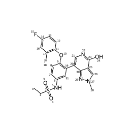 CCS(=O)(=O)Nc1ccc(Oc2ccc(F)cc2F)c(-c2cnc(O)c3cn(C)nc23)c1